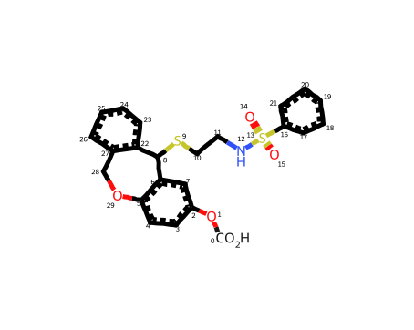 O=C(O)Oc1ccc2c(c1)C(SCCNS(=O)(=O)c1ccccc1)c1ccccc1CO2